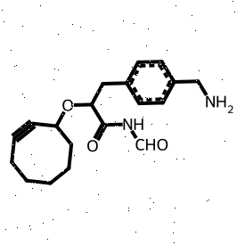 NCc1ccc(CC(OC2C#CCCCCC2)C(=O)NC=O)cc1